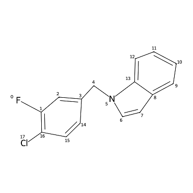 Fc1cc(Cn2ccc3ccccc32)ccc1Cl